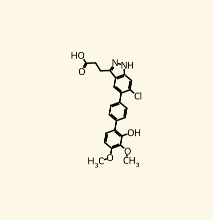 COc1ccc(-c2ccc(-c3cc4c(CCC(=O)O)n[nH]c4cc3Cl)cc2)c(O)c1OC